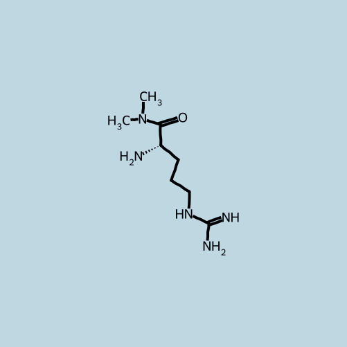 CN(C)C(=O)[C@@H](N)CCCNC(=N)N